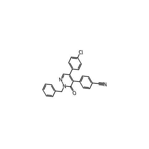 N#Cc1ccc(-c2c(-c3ccc(Cl)cc3)cnn(Cc3ccccc3)c2=O)cc1